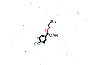 CCC(C)CCOC(OC)c1ccc(Cl)cc1